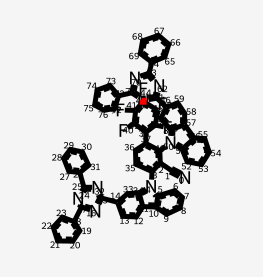 N#Cc1c(-n2c3ccccc3c3ccc(-c4nc(-c5ccccc5)nc(-c5ccccc5)n4)cc32)ccc(-c2c(F)c(F)c(F)c(F)c2F)c1-n1c2ccccc2c2ccc(-c3nc(-c4ccccc4)nc(-c4ccccc4)n3)cc21